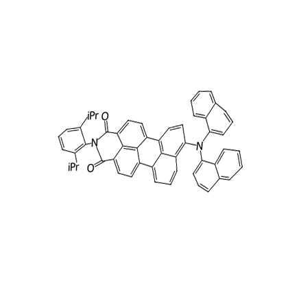 CC(C)c1cccc(C(C)C)c1N1C(=O)c2ccc3c4cccc5c(N(c6cccc7ccccc67)c6cccc7ccccc67)ccc(c6ccc(c2c36)C1=O)c54